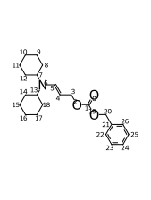 O=C(OC/C=C/N(C1CCCCC1)C1CCCCC1)OCc1ccccc1